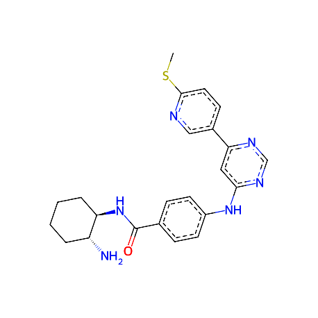 CSc1ccc(-c2cc(Nc3ccc(C(=O)N[C@@H]4CCCC[C@H]4N)cc3)ncn2)cn1